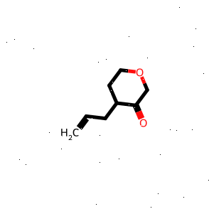 C=CCC1CCOCC1=O